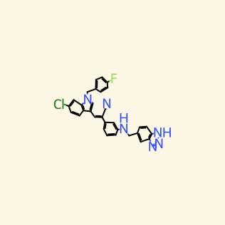 N#C/C(=C\c1cn(Cc2ccc(F)cc2)c2cc(Cl)ccc12)c1cccc(NCc2ccc3[nH]nnc3c2)c1